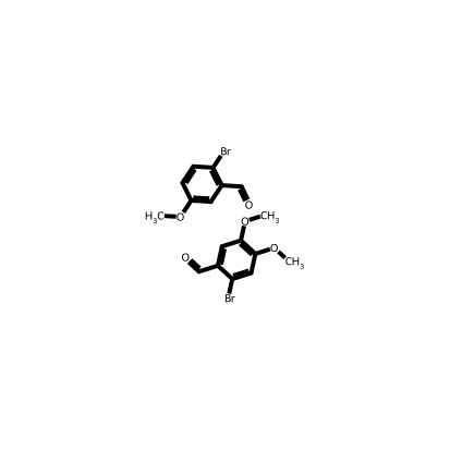 COc1cc(Br)c(C=O)cc1OC.COc1ccc(Br)c(C=O)c1